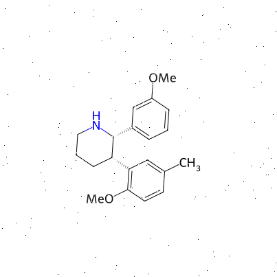 COc1cccc([C@H]2NCCC[C@H]2c2cc(C)ccc2OC)c1